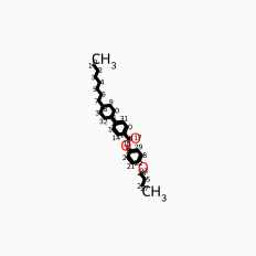 CCCCCCCCC1CCC(c2ccc(C(=O)Oc3ccc(OCCCC)cc3)cc2)CC1